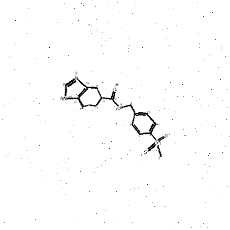 CS(=O)(=O)c1ccc(CNC(=O)C2CCc3[nH]cnc3C2)cc1